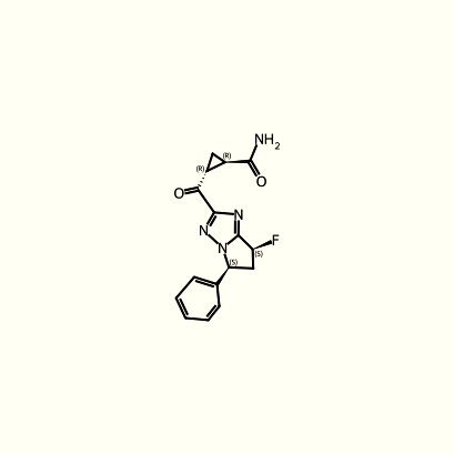 NC(=O)[C@@H]1C[C@H]1C(=O)c1nc2n(n1)[C@H](c1ccccc1)C[C@@H]2F